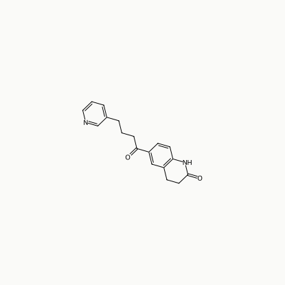 O=C1CCc2cc(C(=O)CCCc3cccnc3)ccc2N1